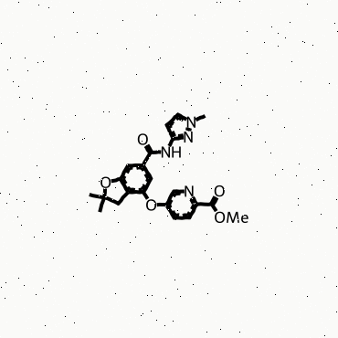 COC(=O)c1ccc(Oc2cc(C(=O)Nc3ccn(C)n3)cc3c2CC(C)(C)O3)cn1